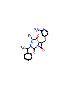 CCNC(=O)[C@@H]1C(Cc2ccnc(N)c2)C(=O)N1C(=O)N[C@H](C)c1ccccc1